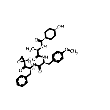 COc1ccc(C[C@H](NC(=O)[C@@H](C)NC(=O)[C@H]2CC[C@@H](O)CC2)C(=O)N[C@@H](Cc2ccccc2)C(=O)[C@@]2(C)CO2)cc1